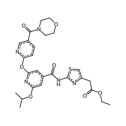 CCOC(=O)Cc1csc(NC(=O)c2cc(Oc3ccc(C(=O)N4CCOCC4)cn3)nc(OC(C)C)c2)n1